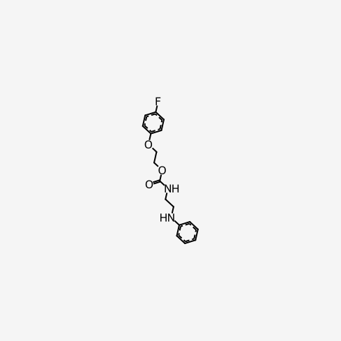 O=C(NCCNc1ccccc1)OCCOc1ccc(F)cc1